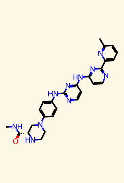 CNC(=O)[C@@H]1CN(c2ccc(Nc3nccc(Nc4ccnc(-c5cccc(C)n5)n4)n3)cc2)CCN1